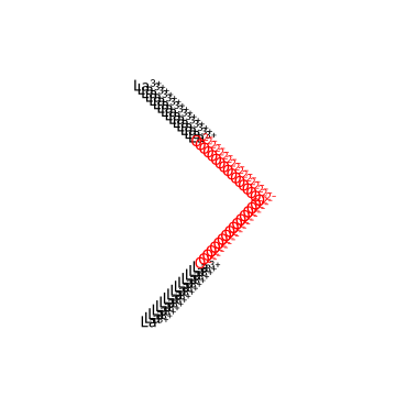 [La+3].[La+3].[La+3].[La+3].[La+3].[La+3].[La+3].[La+3].[La+3].[La+3].[La+3].[La+3].[La+3].[La+3].[La+3].[La+3].[La+3].[La+3].[La+3].[La+3].[La+3].[La+3].[La+3].[La+3].[La+3].[La+3].[La+3].[La+3].[La+3].[La+3].[O-2].[O-2].[O-2].[O-2].[O-2].[O-2].[O-2].[O-2].[O-2].[O-2].[O-2].[O-2].[O-2].[O-2].[O-2].[O-2].[O-2].[O-2].[O-2].[O-2].[O-2].[O-2].[O-2].[O-2].[O-2].[O-2].[O-2].[O-2].[O-2].[O-2].[O-2].[O-2].[O-2]